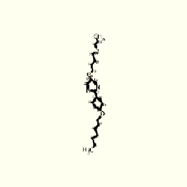 CCCCC=CCOc1ccc(-c2ncc(OCCCCOCCC)cn2)cc1